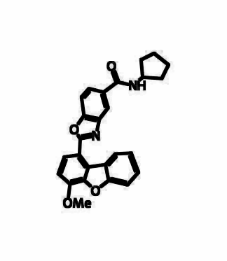 COc1ccc(-c2nc3cc(C(=O)NC4CCCC4)ccc3o2)c2c1oc1ccccc12